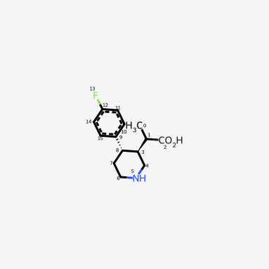 CC(C(=O)O)[C@H]1CNCC[C@@H]1c1ccc(F)cc1